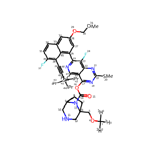 [2H]C([2H])([2H])OCC12CCC(CNC1)N2C(=O)Oc1nc(SC)nc2c(F)c(-c3cc(OCOC)cc4ccc(F)c(C#C[Si](C(C)C)(C(C)C)C(C)C)c34)nc(C)c12